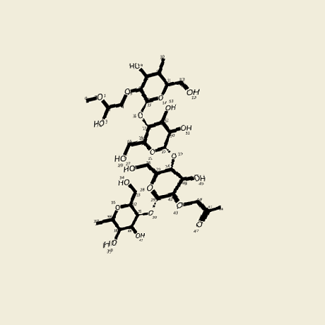 COC(O)COC1C(O)C(C)C(CO)O[C@H]1O[C@@H]1C(CO)O[C@@H](O[C@@H]2C(CO)O[C@@H](O[C@@H]3C(CO)OC(C)C(O)C3O)C(OCC(C)=O)C2O)C(O)C1O